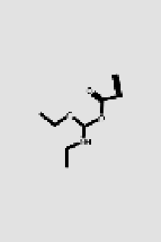 C=CC(=O)OC(NCC)OCC